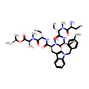 COc1ccc(Cn2cc(C[C@@H](C(=O)N[C@@H](CC(C)C)C(=O)N(C)[C@@H](C)C(=O)O[C@H](C)C(=O)O)N(C)C(=O)[C@H](CC(C)C)NC(=O)[C@H](CC(C)C)N(C)C(=O)[C@@H](N)CC(C)C)c3ccccc32)cc1